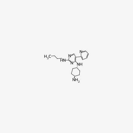 CCCCNc1ncc(-c2ccccn2)c(N[C@H]2CC[C@H](N)CC2)n1